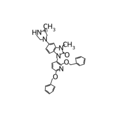 C[C@@H]1CN(c2ccc3c(c2)n(C)c(=O)n3-c2ccc(OCc3ccccc3)nc2OCc2ccccc2)CCN1